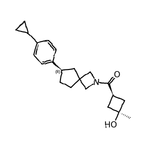 C[C@]1(O)C[C@@H](C(=O)N2CC3(CC[C@@H](c4ccc(C5CC5)cc4)C3)C2)C1